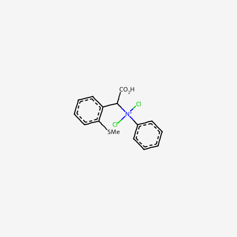 CSc1ccccc1C(C(=O)O)[N+](Cl)(Cl)c1ccccc1